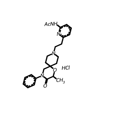 CC(=O)Nc1cccc(CCN2CCC3(CC2)CN(c2ccccc2)C(=O)C(C)O3)n1.Cl